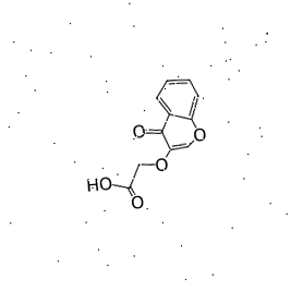 O=C(O)COc1coc2ccccc2c1=O